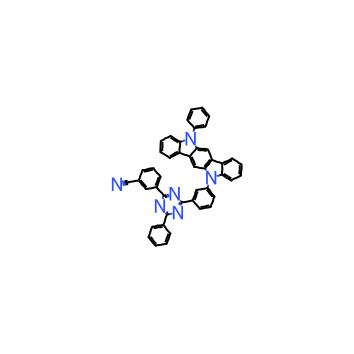 N#Cc1cccc(-c2nc(-c3ccccc3)nc(-c3cccc(-n4c5ccccc5c5cc6c(cc54)c4ccccc4n6-c4ccccc4)c3)n2)c1